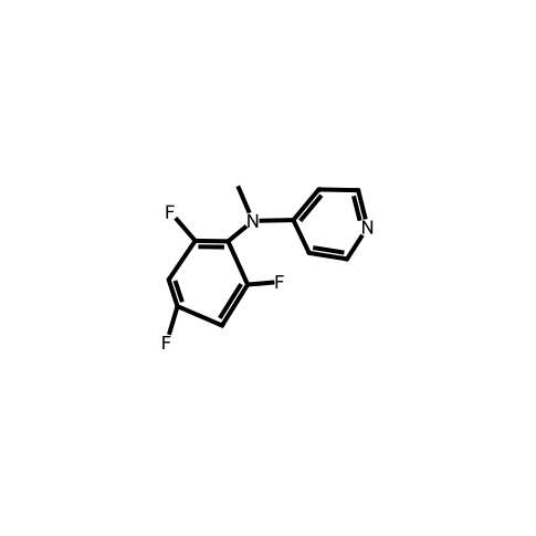 CN(c1ccncc1)c1c(F)cc(F)cc1F